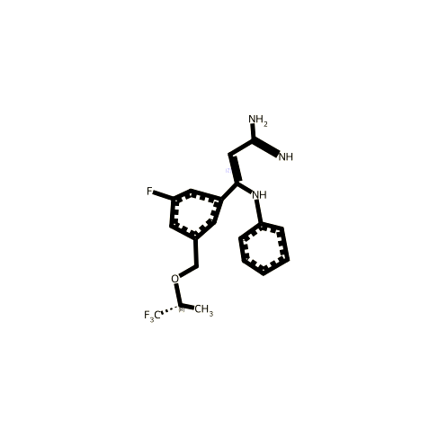 C[C@@H](OCc1cc(F)cc(/C(=C/C(=N)N)Nc2ccccc2)c1)C(F)(F)F